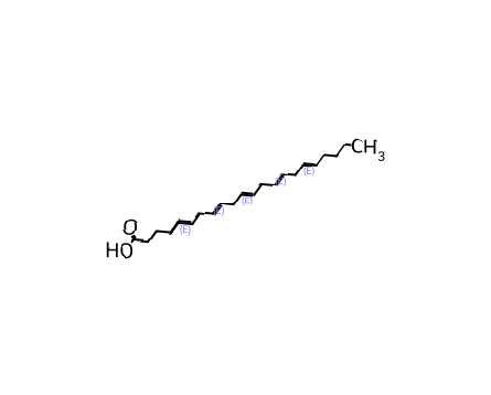 CCCC/C=C/C/C=C/C/C=C/C/C=C/C/C=C/CCCC(=O)O